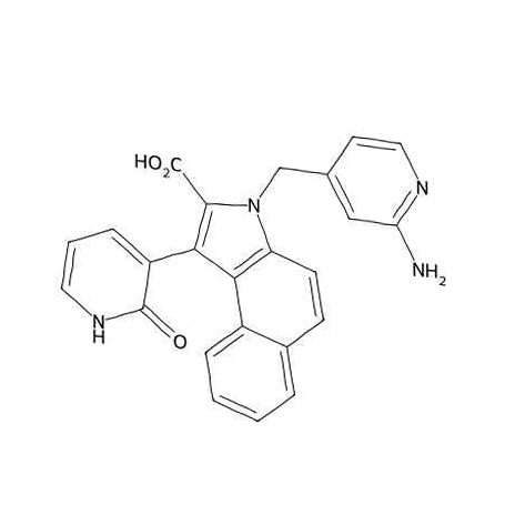 Nc1cc(Cn2c(C(=O)O)c(-c3ccc[nH]c3=O)c3c4ccccc4ccc32)ccn1